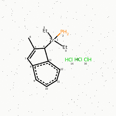 C[CH2][Zr]([PH2])([CH2]C)[CH]1C(C)=Cc2ccccc21.Cl.Cl.Cl